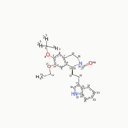 [2H]C([2H])([2H])Oc1cc2c(cc1OCC)[C@H](CCc1c[nH]c3ccccc13)N(C=O)CC2